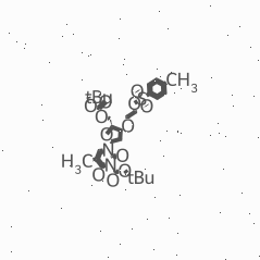 Cc1ccc(S(=O)(=O)OCCO[C@@H]2C[C@H](n3cc(C)c(=O)n(C(=O)OC(C)(C)C)c3=O)O[C@@H]2COC(=O)OC(C)(C)C)cc1